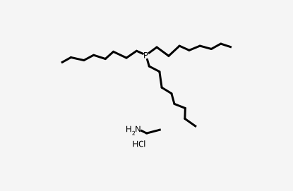 CCCCCCCCP(CCCCCCCC)CCCCCCCC.CCN.Cl